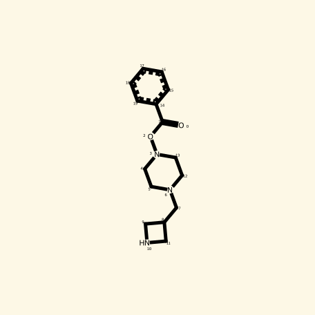 O=C(ON1CCN(CC2CNC2)CC1)c1ccccc1